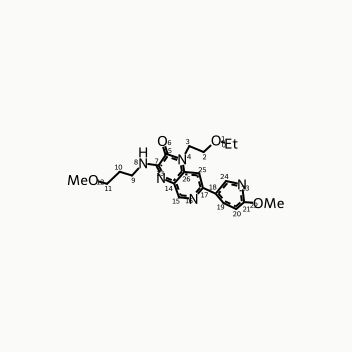 CCOCCn1c(=O)c(NCCCOC)nc2cnc(-c3ccc(OC)nc3)cc21